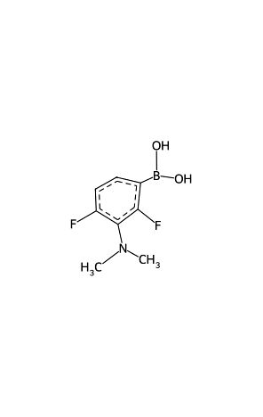 CN(C)c1c(F)ccc(B(O)O)c1F